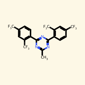 Cc1nc(-c2ccc(C(F)(F)F)cc2C(F)(F)F)nc(-c2ccc(C(F)(F)F)cc2C(F)(F)F)n1